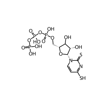 O=P(O)(O)OP(=O)(O)OP(=O)(O)OC[C@H]1O[C@@H](n2ccc(S)nc2=S)[C@@H](O)C1O